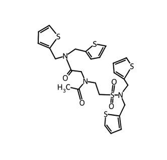 CC(=O)N(CCS(=O)(=O)N(Cc1cccs1)Cc1cccs1)CC(=O)N(Cc1cccs1)Cc1cccs1